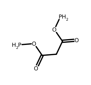 O=C(CC(=O)OP)OP